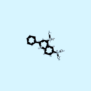 [CH2-][OH+]c1cc(-c2ccccc2)nc2ccc([N+](=O)[O-])cc12